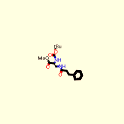 COC(=O)[C@H](CNC(=O)CCc1ccccc1)NC(=O)OC(C)(C)C